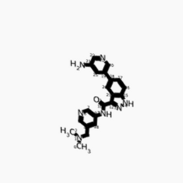 CN(C)Cc1cncc(NC(=O)c2n[nH]c3ccc(-c4cncc(N)c4)cc23)c1